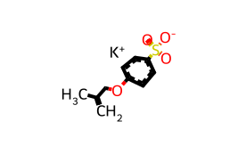 C=C(C)COc1ccc(S(=O)(=O)[O-])cc1.[K+]